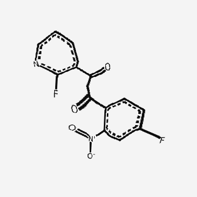 O=C(C(=O)c1cccnc1F)c1ccc(F)cc1[N+](=O)[O-]